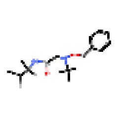 CC(C)C(C)(C)NC(=O)CN(OCc1ccccc1)C(C)(C)C